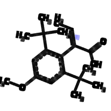 C/C=C(/C(=O)O)c1c(C(C)(C)C)cc(OC)cc1C(C)(C)C